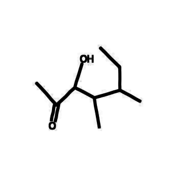 CCC(C)C(C)C(O)C(C)=O